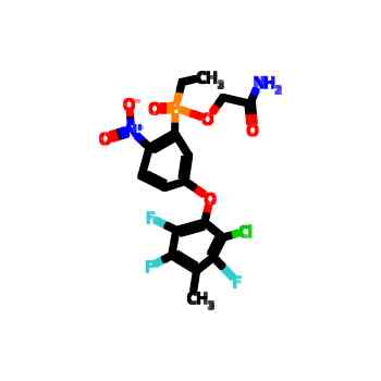 CCP(=O)(OCC(N)=O)c1cc(Oc2c(F)c(F)c(C)c(F)c2Cl)ccc1[N+](=O)[O-]